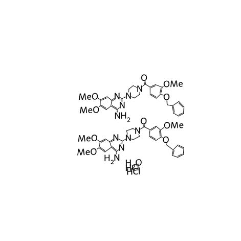 COc1cc2nc(N3CCN(C(=O)c4ccc(OCc5ccccc5)c(OC)c4)CC3)nc(N)c2cc1OC.COc1cc2nc(N3CCN(C(=O)c4ccc(OCc5ccccc5)c(OC)c4)CC3)nc(N)c2cc1OC.Cl.Cl.O